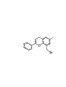 Cc1cc(CBr)c2c(c1)CC=C(c1ccncc1)O2